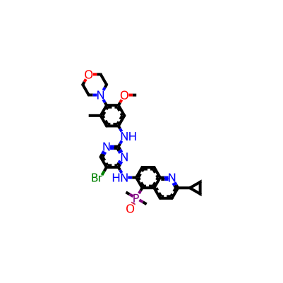 COc1cc(Nc2ncc(Br)c(Nc3ccc4nc(C5CC5)ccc4c3P(C)(C)=O)n2)cc(C)c1N1CCOCC1